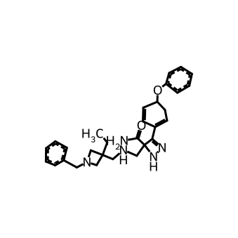 CCC1(CNCC2(C(N)=O)NN=C2C2=CCC(Oc3ccccc3)C=C2)CN(Cc2ccccc2)C1